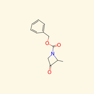 CC1C(=O)CN1C(=O)OCc1ccccc1